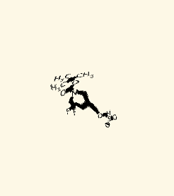 CC(C)(C)OC(=O)N1CC(COC[SH](=O)=O)CC(F)(F)C1